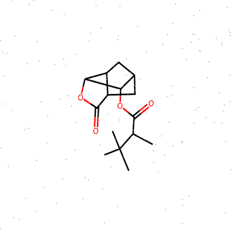 CC(C(=O)OC1C2CC3C(=O)OC1C3C2)C(C)(C)C